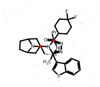 Cc1nnc(C(C)C)n1C1CC2CCC(C1)N2CC[C@H](NC(=O)C1CCC(F)(F)CC1)c1csc2ccccc12